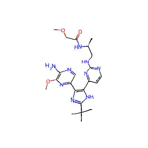 COCC(=O)N[C@@H](C)CNc1nccc(-c2[nH]c(C(C)(C)C)nc2-c2cnc(N)c(OC)n2)n1